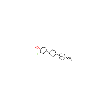 CC12CCC(c3ccc(-c4ccc(O)c(F)c4)cc3)(CC1)CC2